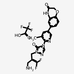 Cc1cc(-c2ccc3c(c2)NC(=O)CO3)cnc1-n1cnn(CC(CN)=C(F)F)c1=O.O=C(O)C(F)(F)F